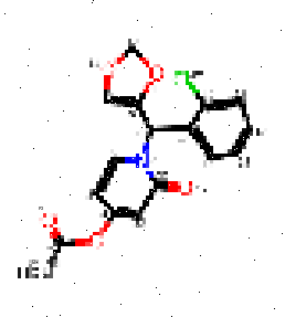 CCCCC(=O)Oc1ccn(C(C2=COCO2)c2ccccc2Cl)c(=O)c1